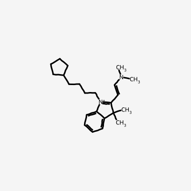 CN(C)/C=C/C1=[N+](CCCCC2CCCC2)c2ccccc2C1(C)C